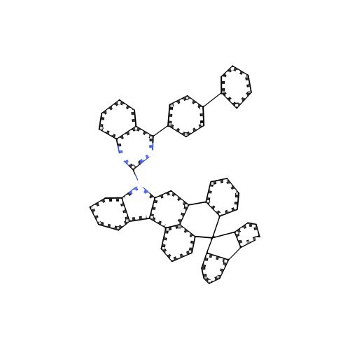 c1ccc(-c2ccc(-c3nc(-n4c5ccccc5c5c6cccc7c6c(cc54)-c4ccccc4C74c5ccccc5-c5ccccc54)nc4ccccc34)cc2)cc1